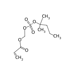 C=CC(=O)OCOS(=O)(=O)OC(C)(C)CCC